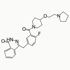 O=C(c1cc(Cc2n[nH]c(=O)c3ccccc23)ccc1F)N1CCC(OCCN2CCCC2)CC1